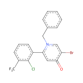 O=c1cc(-c2cccc(C(F)(F)F)c2Cl)n(Cc2ccccc2)cc1Br